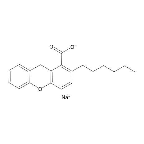 CCCCCCc1ccc2c(c1C(=O)[O-])Cc1ccccc1O2.[Na+]